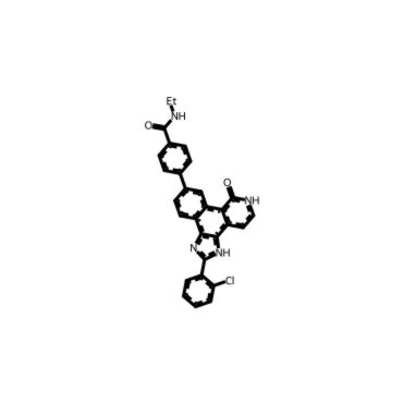 CCNC(=O)c1ccc(-c2ccc3c(c2)c2c(=O)[nH]ccc2c2[nH]c(-c4ccccc4Cl)nc32)cc1